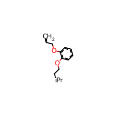 C=CCOc1ccccc1OCCC(C)C